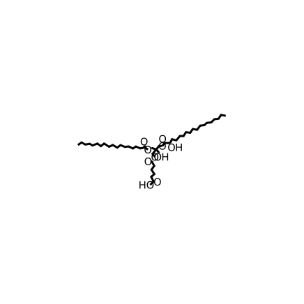 CCCCCCCCCCCCCCCCCC(=O)OCC(CO)(COC(=O)CCCCC(=O)O)COC(=O)C(O)CCCCCCCCCCCCCCCC